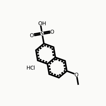 COc1ccc2ccc(S(=O)(=O)O)cc2c1.Cl